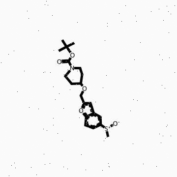 C[S+]([O-])c1ccc2oc(COC3CCN(C(=O)OC(C)(C)C)CC3)cc2c1